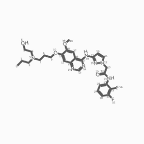 CCCN(CCO)CCCOc1cc2ncnc(Nc3ccn(CC(=O)Nc4cccc(F)c4F)n3)c2cc1OC